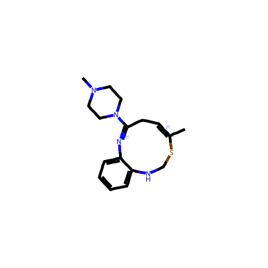 C/C1=C/C/C(N2CCN(C)CC2)=N\c2ccccc2NCS1